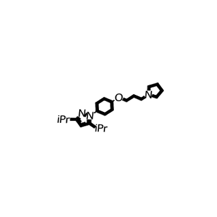 CC(C)c1cc(C(C)C)n([C@H]2CC[C@@H](OCCCN3CCCC3)CC2)n1